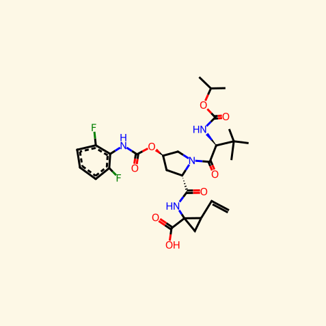 C=CC1CC1(NC(=O)[C@@H]1C[C@@H](OC(=O)Nc2c(F)cccc2F)CN1C(=O)[C@@H](NC(=O)OC(C)C)C(C)(C)C)C(=O)O